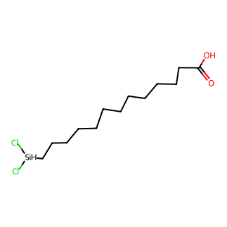 O=C(O)CCCCCCCCCCCC[SiH](Cl)Cl